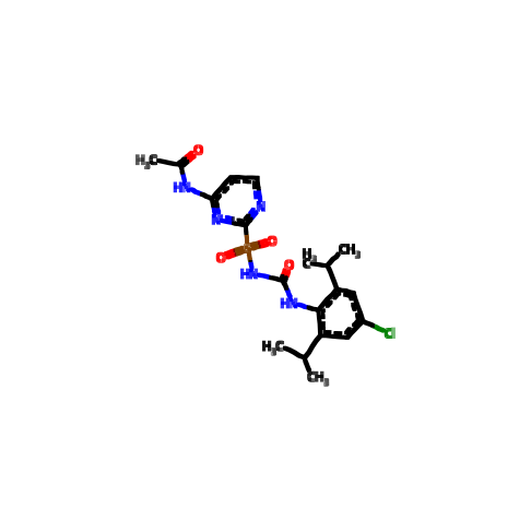 CC(=O)Nc1ccnc(S(=O)(=O)NC(=O)Nc2c(C(C)C)cc(Cl)cc2C(C)C)n1